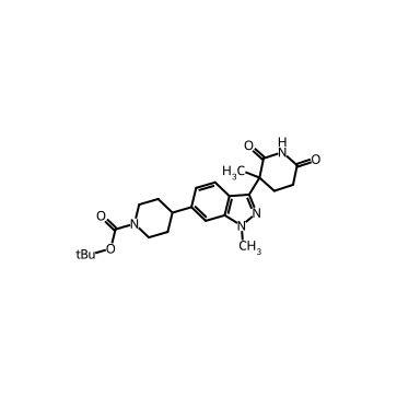 Cn1nc(C2(C)CCC(=O)NC2=O)c2ccc(C3CCN(C(=O)OC(C)(C)C)CC3)cc21